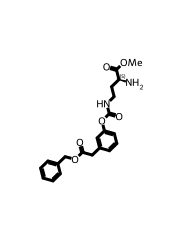 COC(=O)[C@@H](N)CCNC(=O)Oc1cccc(CC(=O)OCc2ccccc2)c1